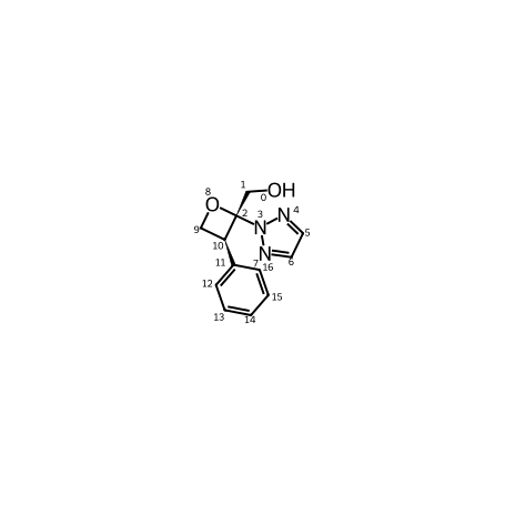 OC[C@]1(n2nccn2)OC[C@@H]1c1ccccc1